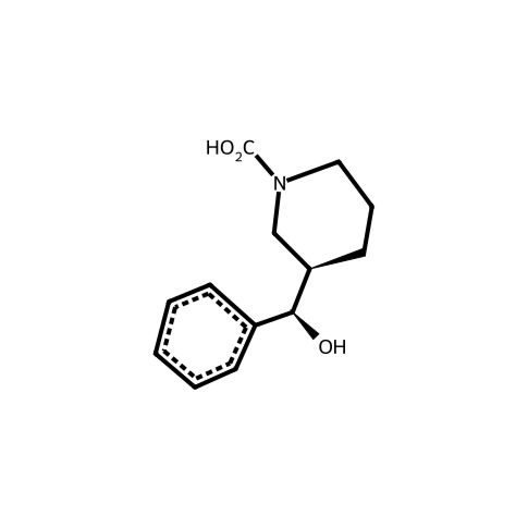 O=C(O)N1CCC[C@@H]([C@@H](O)c2ccccc2)C1